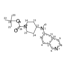 CN(c1ccc2cnccc2c1)C1CCN(C(=O)OC(C)(C)C)CC1